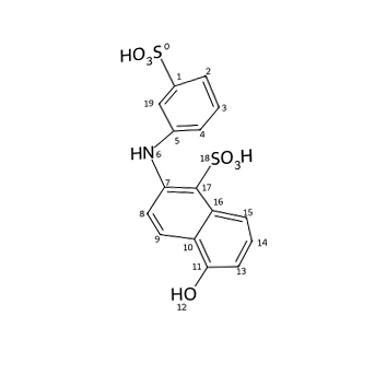 O=S(=O)(O)c1cccc(Nc2ccc3c(O)cccc3c2S(=O)(=O)O)c1